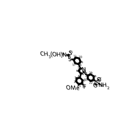 COc1ccc(-c2cc(-c3cccc(SC(=S)N(C)O)c3)nn2-c2ccc(S(N)(=O)=O)cc2)cc1F